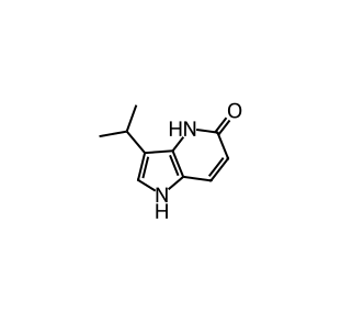 CC(C)c1c[nH]c2ccc(=O)[nH]c12